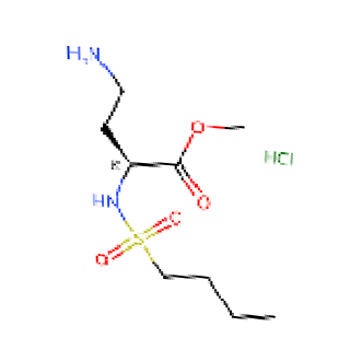 CCCCS(=O)(=O)N[C@@H](CCN)C(=O)OC.Cl